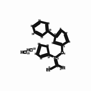 CC[C](CC)=[Ti]([O]c1cccc(-c2ccccc2)c1)[C]1=CC=CC1.Cl.Cl